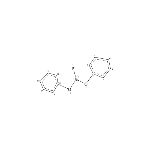 F[SiH](Oc1ccccc1)Oc1ccccc1